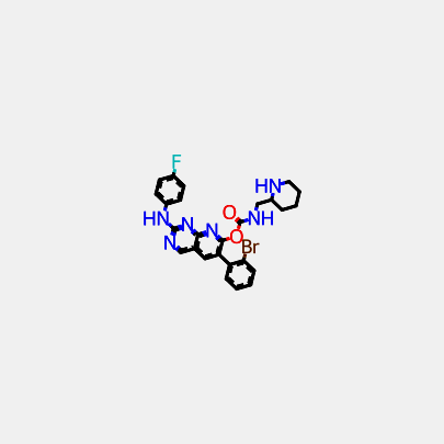 O=C(NCC1CCCCN1)Oc1nc2nc(Nc3ccc(F)cc3)ncc2cc1-c1ccccc1Br